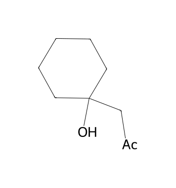 CC(=O)CC1(O)CCCCC1